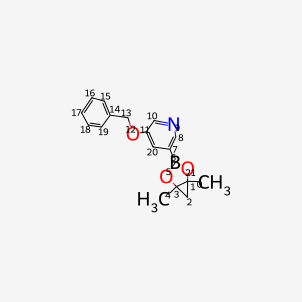 CC12CC1(C)OB(c1cncc(OCc3ccccc3)c1)O2